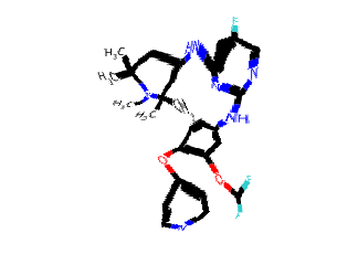 CN1C(C)(C)CC(Nc2nc(Nc3ccc(Oc4ccncc4)c(OC(F)F)c3)ncc2F)CC1(C)C